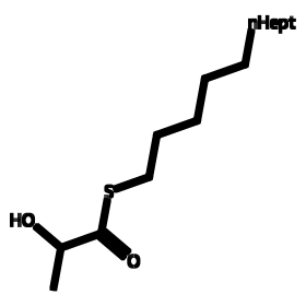 CCCCCCCCCCCCSC(=O)C(C)O